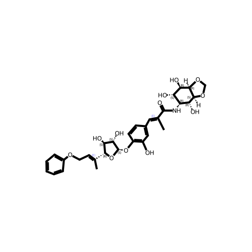 C/C(=C\c1ccc(O[C@@H]2O[C@H](/C(C)=C/COc3ccccc3)[C@@H](O)[C@@H]2O)c(O)c1)C(=O)N[C@@H]1[C@H](O)[C@@H](O)[C@H]2OCO[C@H]2[C@@H]1O